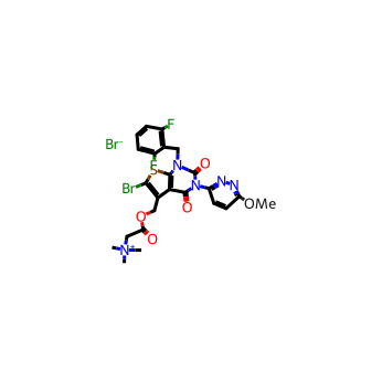 COc1ccc(-n2c(=O)c3c(COC(=O)C[N+](C)(C)C)c(Br)sc3n(Cc3c(F)cccc3F)c2=O)nn1.[Br-]